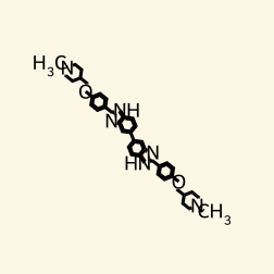 CN1CCC(COc2ccc(-c3nc4cc(-c5ccc6[nH]c(-c7ccc(OCC8CCN(C)CC8)cc7)nc6c5)ccc4[nH]3)cc2)CC1